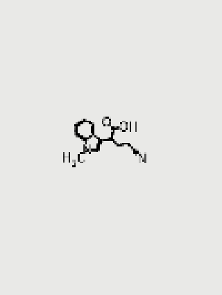 Cn1cc(C(CCC#N)C(=O)O)c2ccccc21